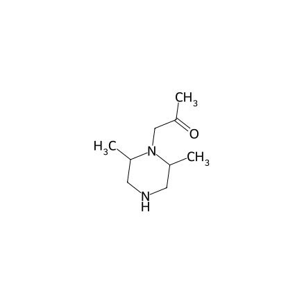 CC(=O)CN1C(C)CNCC1C